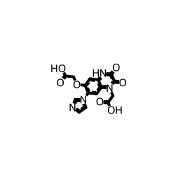 O=C(O)COc1cc2[nH]c(=O)c(=O)n(CC(=O)O)c2cc1-n1ccnc1